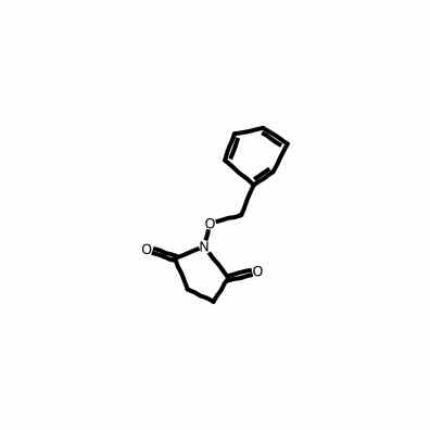 O=C1CCC(=O)N1OCc1ccccc1